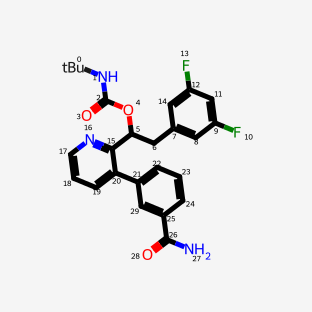 CC(C)(C)NC(=O)OC(Cc1cc(F)cc(F)c1)c1ncccc1-c1cccc(C(N)=O)c1